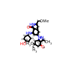 COCc1cc2cc(-n3nc(C)c4c3CC(C)(C)CC4=O)cc(N[C@H]3CC[C@H](O)CC3)c2c(=O)[nH]1